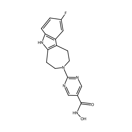 O=C(NO)c1cnc(N2CCc3[nH]c4ccc(F)cc4c3CC2)nc1